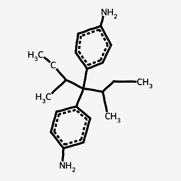 CCC(C)C(c1ccc(N)cc1)(c1ccc(N)cc1)C(C)CC